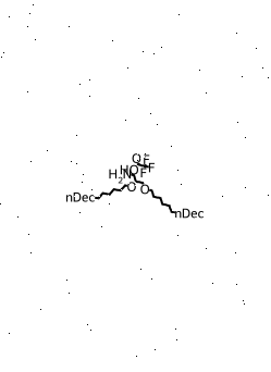 CCCCCCCCCCCCCCCCOCC(CN)OCCCCCCCCCCCCCCCC.O=C(O)C(F)(F)F